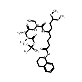 COC(CCC(CCCC(=O)N[C@@H]1CCCc2ccccc21)NC(=O)[C@H](CO)NC(=O)[C@H](N)N(C)C(=O)OC(C)(C)C)OC